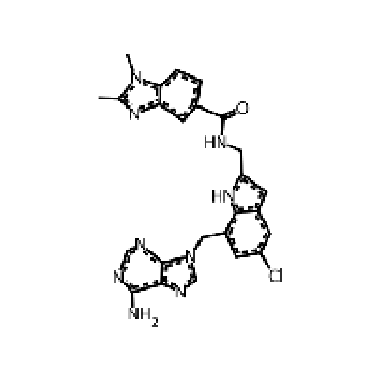 Cc1nc2cc(C(=O)NCc3cc4cc(Cl)cc(Cn5cnc6c(N)ncnc65)c4[nH]3)ccc2n1C